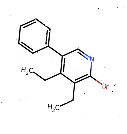 CCc1c(-c2ccccc2)[c]nc(Br)c1CC